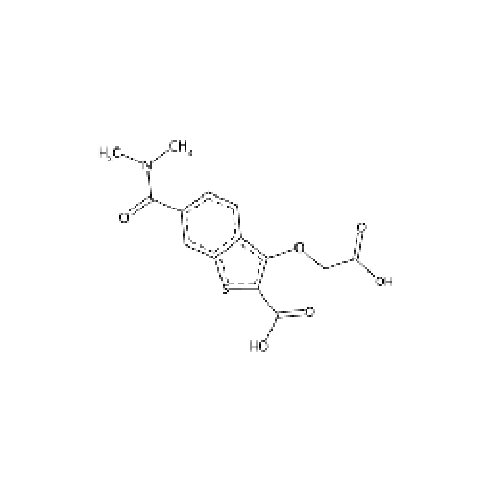 CN(C)C(=O)c1ccc2c(OCC(=O)O)c(C(=O)O)sc2c1